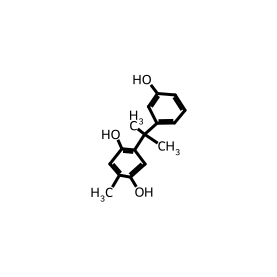 Cc1cc(O)c(C(C)(C)c2cccc(O)c2)cc1O